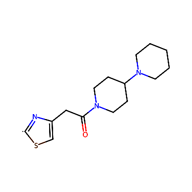 O=C(Cc1cs[c]n1)N1CCC(N2CCCCC2)CC1